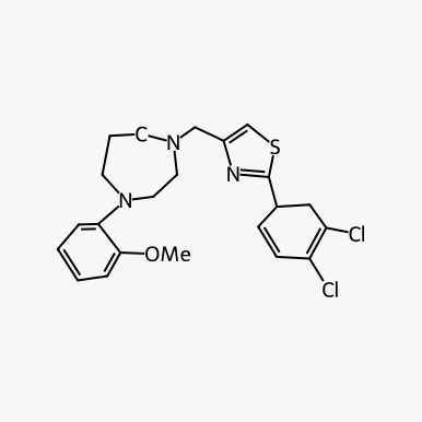 COc1ccccc1N1CCCN(Cc2csc(C3C=CC(Cl)=C(Cl)C3)n2)CC1